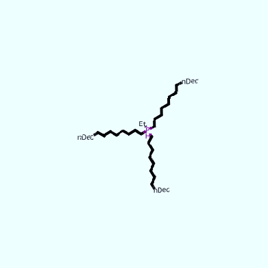 CCCCCCCCCCCCCCCCCC[PH](CC)(CCCCCCCCCCCCCCCCCC)CCCCCCCCCCCCCCCCCC